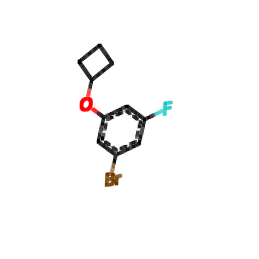 Fc1cc(Br)cc(OC2CCC2)c1